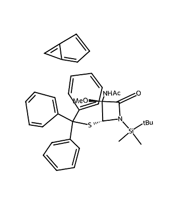 CO[C@@]1(NC(C)=O)C(=O)N([Si](C)(C)C(C)(C)C)[C@@H]1SC(c1ccccc1)(c1ccccc1)c1ccccc1.c1cc2cc-2c1